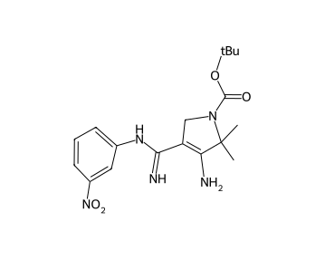 CC(C)(C)OC(=O)N1CC(C(=N)Nc2cccc([N+](=O)[O-])c2)=C(N)C1(C)C